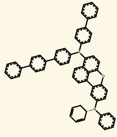 C1=CC[C@H](N(c2ccccc2)c2ccc3c(c2)-c2cccc4c(N(c5ccc(-c6ccccc6)cc5)c5ccc(-c6ccc(-c7ccccc7)cc6)cc5)ccc(c24)O3)C=C1